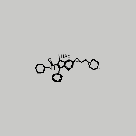 CC(=O)NC1C(C(=O)NC2CCCCC2)=C(c2ccccc2)c2ccc(OCCN3CCOCC3)cc21